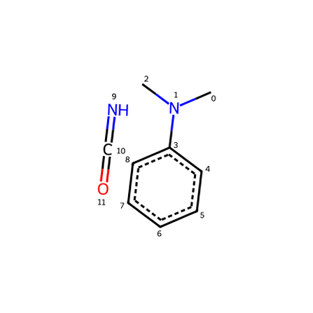 CN(C)c1ccccc1.N=C=O